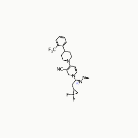 C=N/N=C(/CC1CC1(F)F)N1C=CC(N2CCC(c3ccccc3C(F)(F)F)CC2)=C(C#N)C1